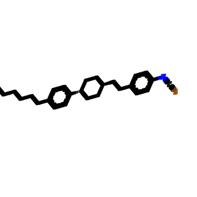 CCCCCCc1ccc([C@H]2CC[C@H](CCc3ccc(N=C=S)cc3)CC2)cc1